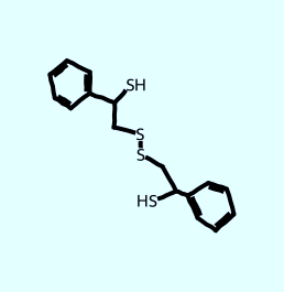 SC(CSSCC(S)c1ccccc1)c1ccccc1